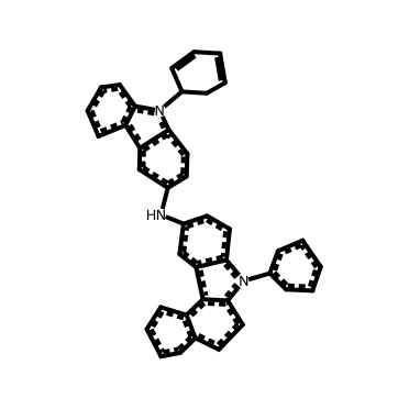 C1=CCC(n2c3ccccc3c3cc(Nc4ccc5c(c4)c4c6ccccc6ccc4n5-c4ccccc4)ccc32)C=C1